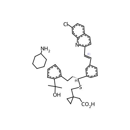 CC(C)(O)c1ccccc1CC[C@@H](SCC1(CC(=O)O)CC1)c1cccc(/C=C/c2ccc3ccc(Cl)cc3n2)c1.NC1CCCCC1